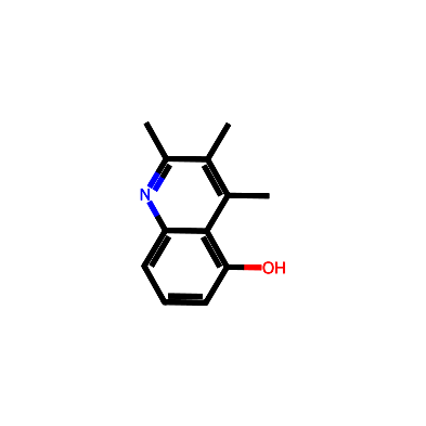 Cc1nc2cccc(O)c2c(C)c1C